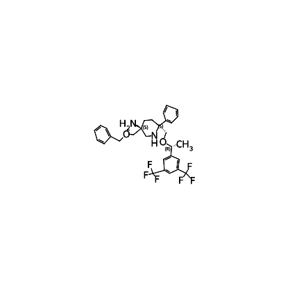 C[C@@H](OC[C@@]1(c2ccccc2)CC[C@@](N)(COCc2ccccc2)CN1)c1cc(C(F)(F)F)cc(C(F)(F)F)c1